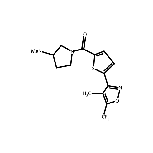 CNC1CCN(C(=O)c2ccc(-c3noc(C(F)(F)F)c3C)s2)C1